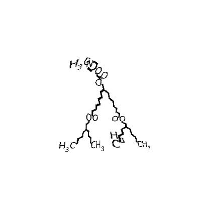 CCCCCC(CCCCC)CCOC(=O)CCCCCCCC(CCCCCCCC(=O)OCCC(CCCCC)CCCCC)COC(=O)COC1CCN(C)CC1